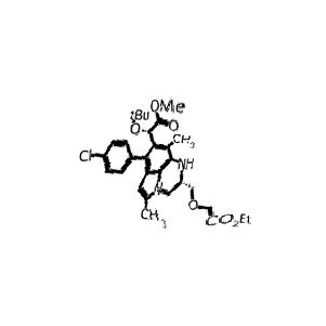 CCOC(=O)COC[C@@H]1Cn2c(C)cc3c(-c4ccc(Cl)cc4)c([C@H](OC(C)(C)C)C(=O)OC)c(C)c(c32)N1